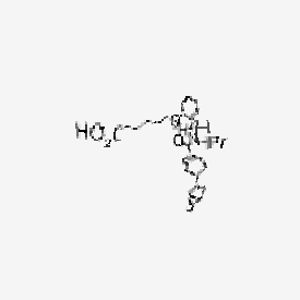 [2H]C([2H])(c1ccccc1OCCCCCC(=O)O)N(C(=O)c1ccc(-c2ccsc2)cc1)C(C)C